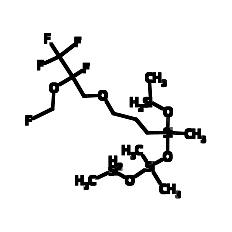 C[SiH2]O[Si](C)(C)O[Si](C)(CCCOCC(F)(OCF)C(F)(F)F)O[SiH2]C